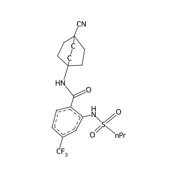 CCCS(=O)(=O)Nc1cc(C(F)(F)F)ccc1C(=O)NC12CCC(C#N)(CC1)CC2